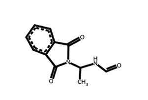 CC(NC=O)N1C(=O)c2ccccc2C1=O